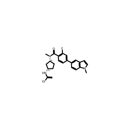 C=C(CC)N[C@H]1CC[C@@H](N(C)C(=O)c2ccc(-c3ccc4c(ccn4C)c3)cc2F)C1